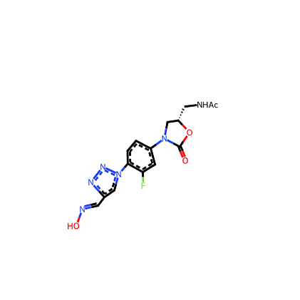 CC(=O)NC[C@H]1CN(c2ccc(-n3cc(C=NO)nn3)c(F)c2)C(=O)O1